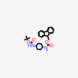 CN(C(=O)OCC1c2ccccc2-c2ccccc21)[C@H]1CC[C@H](NC(=O)OC(C)(C)C)CC1